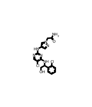 NC(=O)Cn1cc(Nc2ncc(Cl)c(NC(CO)c3ccccc3Cl)n2)cn1